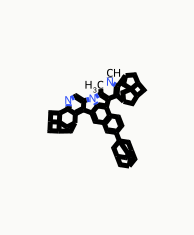 C=NC1=C(c2c(C)n3c4cnc5c(c4c4cc6cc(C78CC9CC(CC(C9)C7)C8)ccc6c2c43)C2CC3CC4CC5C34C2)C2CC3CC4CC1CC43C2